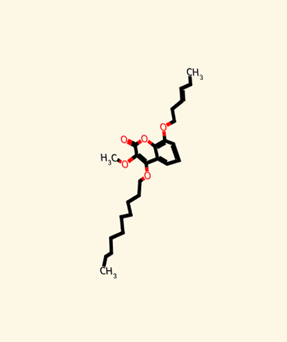 CCC=CCCOc1cccc2c(OCCCCCCCCCC)c(OC)c(=O)oc12